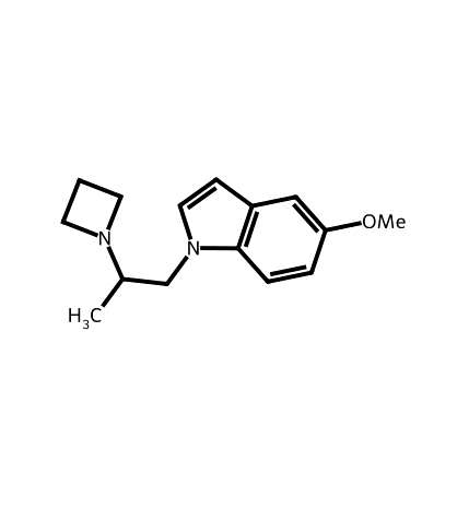 COc1ccc2c(ccn2CC(C)N2CCC2)c1